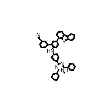 CN/C(=N\C(=N/Cc1ccccc1)c1ccc(Nc2ccc(-c3cccc4c3sc3ccccc34)cc2-c2cccc(C#N)c2)cc1)c1ccccc1